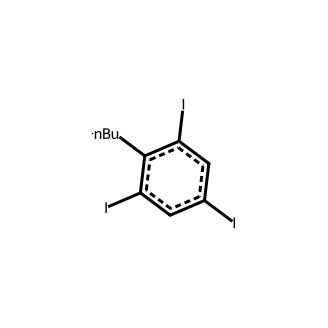 CCC[CH]c1c(I)cc(I)cc1I